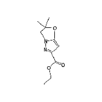 CCOC(=O)c1cc2n(n1)CC(C)(C)O2